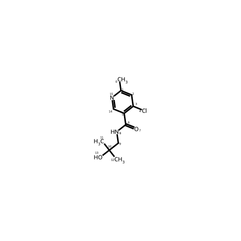 Cc1cc(Cl)c(C(=O)NCC(C)(C)O)cn1